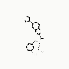 COCCN(Cc1cccc(C)c1)C(=O)c1nc2ccc(-c3cn[nH]c3)cc2s1